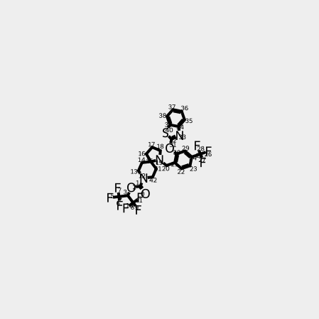 O=C(OC(C(F)(F)F)C(F)(F)F)N1CCC2(CCCN2Cc2ccc(C(F)(F)F)cc2Oc2nc3ccccc3s2)CC1